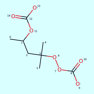 CC(CC(C)(C)OOC([O])=O)OC([O])=O